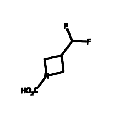 O=C(O)N1CC(C(F)F)C1